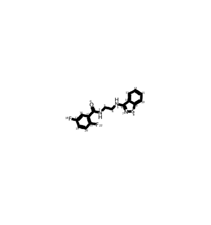 O=C(NCCNc1nsc2ccccc12)c1cc(F)ccc1F